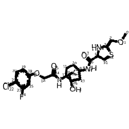 COCC1NC(C(=O)NC23CCC(NC(=O)COc4ccc(Cl)c(F)c4)(CC2)C(O)C3)CS1